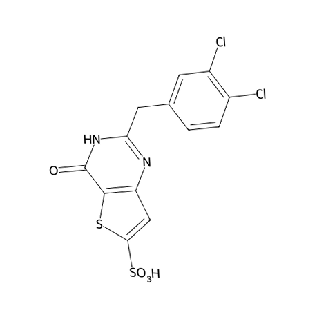 O=c1[nH]c(Cc2ccc(Cl)c(Cl)c2)nc2cc(S(=O)(=O)O)sc12